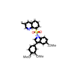 COc1ccc2c(c1)c(-c1ccc(OC)c(OC)c1)cn2S(=O)(=O)c1cccc2cc(C)cnc12